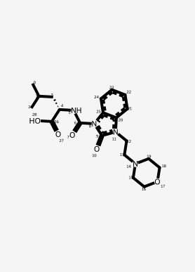 CC(C)C[C@H](NC(=O)n1c(=O)n(CCN2CCOCC2)c2ccccc21)C(=O)O